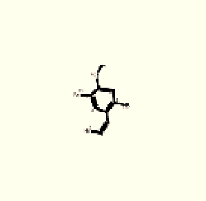 COc1cc(Br)c(/C=C\Br)cc1Br